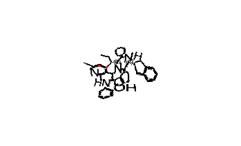 CCC(CC)[C@@H]1C(=O)N[C@H](C2Cc3ccccc3C2)C(=O)N1C(C(=O)Nc1ccccc1O)c1ccc(C)nc1C